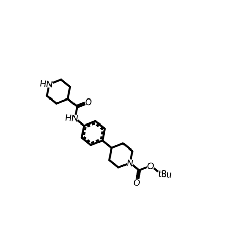 CC(C)(C)OC(=O)N1CCC(c2ccc(NC(=O)C3CCNCC3)cc2)CC1